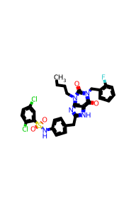 CCCCn1c(=O)n(Cc2ccccc2F)c(=O)c2[nH]c(Cc3ccc(NS(=O)(=O)c4cc(Cl)ccc4Cl)cc3)nc21